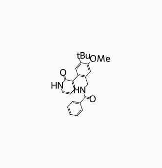 COc1cc(CNC(=O)c2ccccc2)c(-c2ccc[nH]c2=O)cc1C(C)(C)C